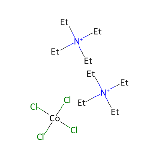 CC[N+](CC)(CC)CC.CC[N+](CC)(CC)CC.[Cl][Co]([Cl])([Cl])[Cl]